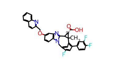 CC12c3cc(c(F)cc3-c3ccc(F)c(F)c3)Cn3c(nc4cc(OCc5ccc6ccccc6n5)ccc43)C1[C@@H]2C(=O)O